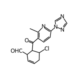 Cc1nc(-n2cncn2)ccc1C(=O)C1C(C=O)C=CCC1Cl